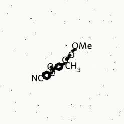 COCCOCCOC(C)c1ccc(C(=O)Oc2ccc(C#N)cc2)cc1